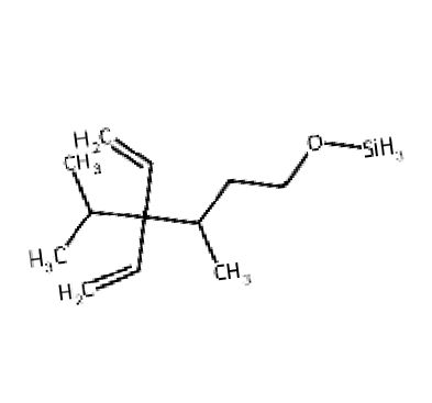 C=CC(C=C)(C(C)C)C(C)CCO[SiH3]